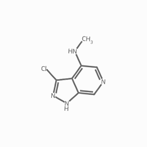 CNc1cncc2[nH]nc(Cl)c12